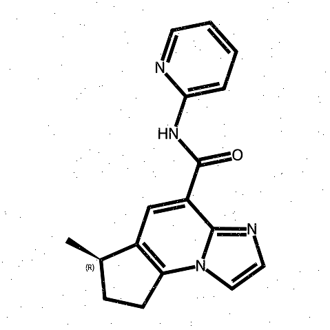 C[C@@H]1CCc2c1cc(C(=O)Nc1ccccn1)c1nccn21